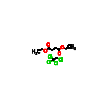 CCOC(=O)CCC(=O)OCC.ClCC(Cl)(Cl)Cl